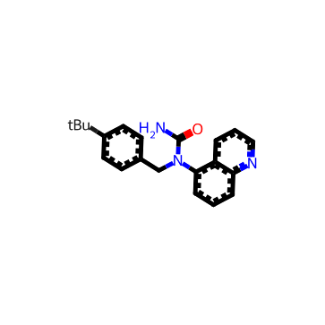 CC(C)(C)c1ccc(CN(C(N)=O)c2cccc3ncccc23)cc1